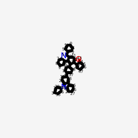 c1ccc(-c2nc3ccccc3c3c(-c4ccc(-c5ccc6c(c5)c5ccccc5n6-c5ccccc5)cc4)c4c(cc23)oc2ccccc24)cc1